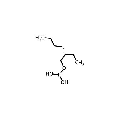 CCCC[C@H](CC)COP(O)O